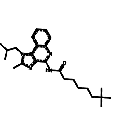 Cc1nc2c(NC(=O)CCCCCC(C)(C)C)nc3ccccc3c2n1CC(C)C